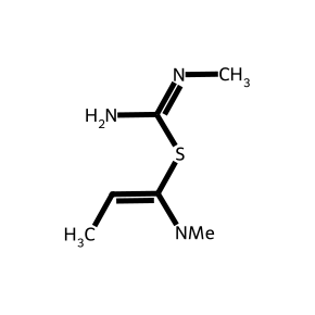 CC=C(NC)S/C(N)=N\C